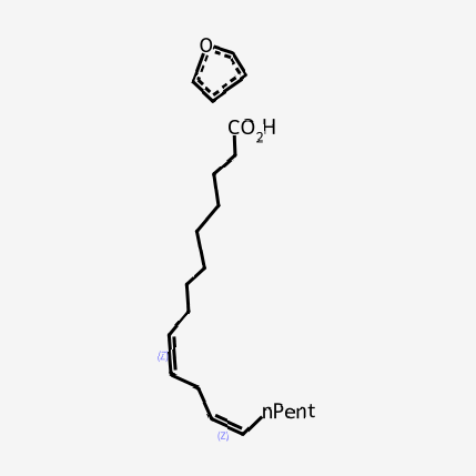 CCCCC/C=C\C/C=C\CCCCCCCC(=O)O.c1ccoc1